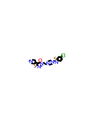 CN1CCc2c(sc3ncn(CCN4CCN(c5nc6ccc(Cl)cc6s5)CC4)c(=O)c23)C1